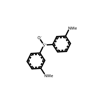 CNc1cccc([S+]([O-])c2cccc(NC)c2)c1